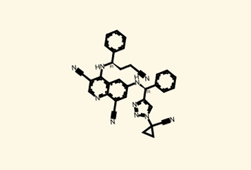 N#CCC[C@@H](Nc1c(C#N)cnc2c(C#N)cc(N[C@@H](c3ccccc3)c3cn(C4(C#N)CC4)nn3)cc12)c1ccccc1